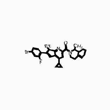 CCC1C(c2ccc(Br)cc2F)=Cc2c(C3CC3)cc(C(=O)N3CCc4ccccc4C3C)nc21